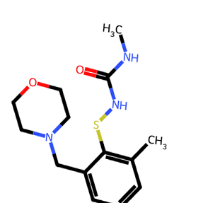 CNC(=O)NSc1c(C)cccc1CN1CCOCC1